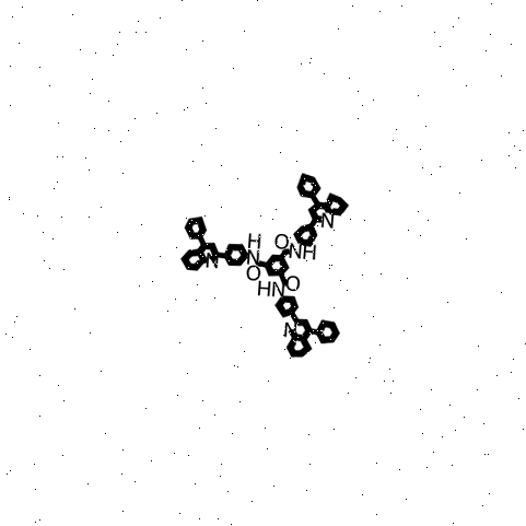 O=C(Nc1ccc(-c2cc(-c3ccccc3)c3ccccc3n2)cc1)c1cc(C(=O)Nc2ccc(-c3cc(-c4ccccc4)c4ccccc4n3)cc2)cc(C(=O)Nc2ccc(-c3cc(-c4ccccc4)c4ccccc4n3)cc2)c1